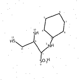 O=S(=O)(O)C(NC1CCCCC1)C(S)CS